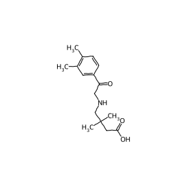 Cc1ccc(C(=O)CNCC(C)(C)CC(=O)O)cc1C